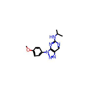 COc1ccc(-n2nnc3cnc(NC(C)C)nc32)cc1